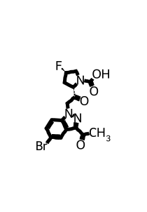 CC(=O)c1nn(CC(=O)[C@@H]2C[C@H](F)CN2C(=O)O)c2ccc(Br)cc12